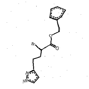 O=C(OCc1ccccc1)C(Br)CCc1cc[nH]n1